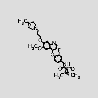 COc1cc2c(Oc3ccc(NC(=O)[C@@]4(C=O)[C@H](C)[C@@H]4C)cc3F)ccnc2cc1OCCCN1CCN(C)CC1